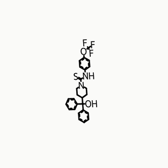 OC(c1ccccc1)(c1ccccc1)C1CCN(C(=S)Nc2ccc(OC(F)(F)F)cc2)CC1